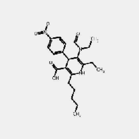 CCCCCC1=C(C(=O)O)C(c2ccc([N+](=O)[O-])cc2)C(N(C=O)CC)=C(CC)N1